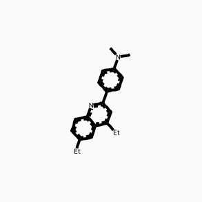 CCc1ccc2nc(-c3ccc(N(C)C)cc3)cc(CC)c2c1